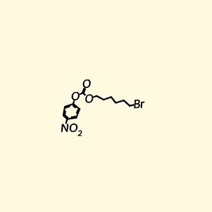 O=C(OCCCCCCBr)Oc1ccc([N+](=O)[O-])cc1